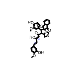 COc1ccc(/C=C/C(O)=C/C(=O)C2C3CSCN3C3(C(=O)C4C=CC=CC4C3O)C2c2ccc(O)c(OC)c2)cc1O